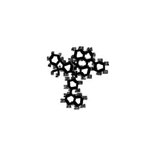 CC1(C)c2ccccc2-c2ccc(N(c3ccc(-c4cccc5ccccc45)cc3)c3cccc4c3C(C)(C)c3cccc5ccc(-c6ccccc6)c-4c35)cc21